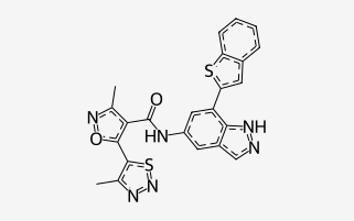 Cc1nnsc1-c1onc(C)c1C(=O)Nc1cc(-c2cc3ccccc3s2)c2[nH]ncc2c1